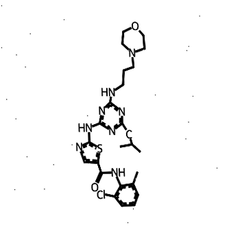 Cc1cccc(Cl)c1NC(=O)c1cnc(Nc2nc(CC(C)C)nc(NCCCN3CCOCC3)n2)s1